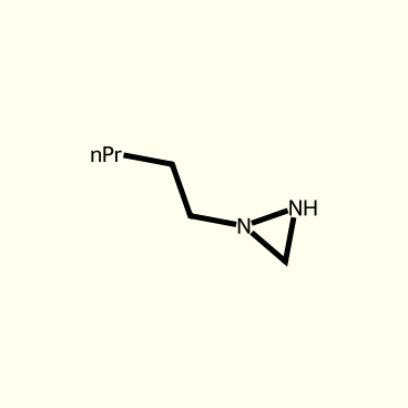 [CH2]CCCCN1CN1